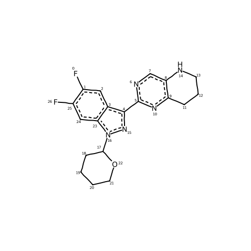 Fc1cc2c(-c3ncc4c(n3)CCCN4)nn(C3CCCCO3)c2cc1F